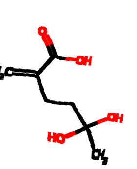 C=C(CCC(C)(O)O)C(=O)O